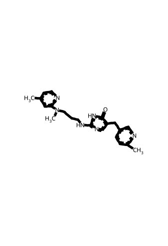 Cc1ccnc(N(C)CCCNc2ncc(Cc3ccc(C)nc3)c(=O)[nH]2)c1